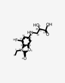 CCn1c(=O)oc2cc(NC[C@@H](O)C(=O)O)cc(F)c21